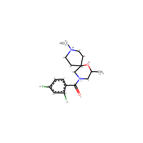 CC1CN(C(=O)c2ccc(F)cc2F)CC2(CCN(C(=O)O)CC2)O1